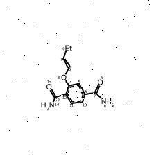 CCC=COc1cc(C(N)=O)ccc1C(N)=O